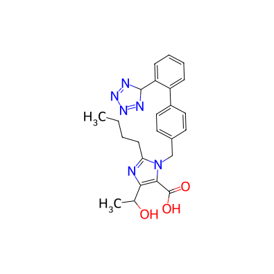 CCCCc1nc(C(C)O)c(C(=O)O)n1Cc1ccc(-c2ccccc2C2N=NN=N2)cc1